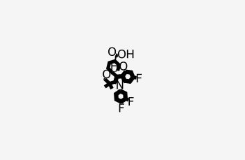 CC1(C)CO[C@]2(CC[C@H](C(=O)O)CC2)c2c1n(-c1ccc(F)c(F)c1)c1cc(F)cc(O)c12